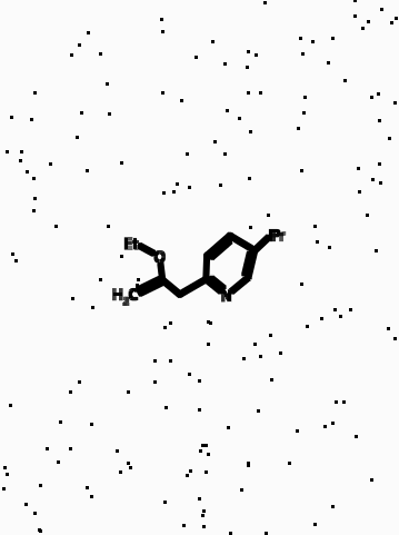 C=C(Cc1ccc(C(C)C)cn1)OCC